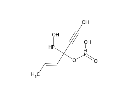 CC=CC(C#CO)(O[PH](=O)O)PO